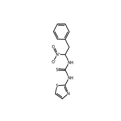 O=[N+]([O-])C(Cc1ccccc1)NC(=S)Nc1nccs1